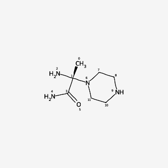 C[C@](N)(C(N)=O)N1CCNCC1